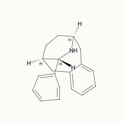 c1ccc([C@H]2N[C@H]3CC[C@@H]2Cc2ccccc2C3)cc1